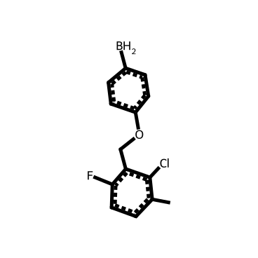 Bc1ccc(OCc2c(F)ccc(C)c2Cl)cc1